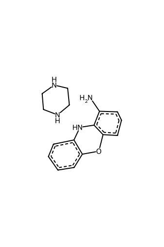 C1CNCCN1.Nc1cccc2c1Nc1ccccc1O2